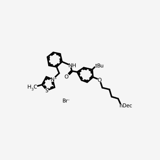 CCCCCCCCCCCCCCOc1ccc(C(=O)Nc2ccccc2C[n+]2csc(C)c2)cc1C(C)(C)C.[Br-]